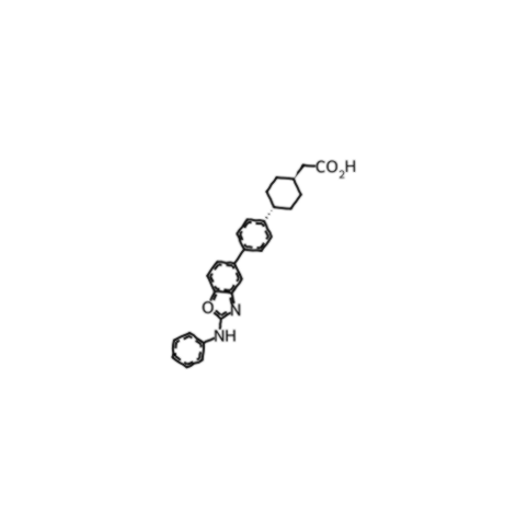 O=C(O)C[C@H]1CC[C@H](c2ccc(-c3ccc4oc(Nc5ccccc5)nc4c3)cc2)CC1